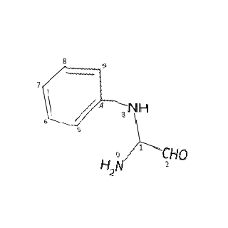 NC(C=O)Nc1ccccc1